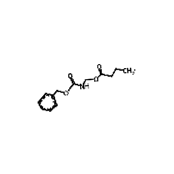 [CH2]CCC(=O)OCNC(=O)OCc1ccccc1